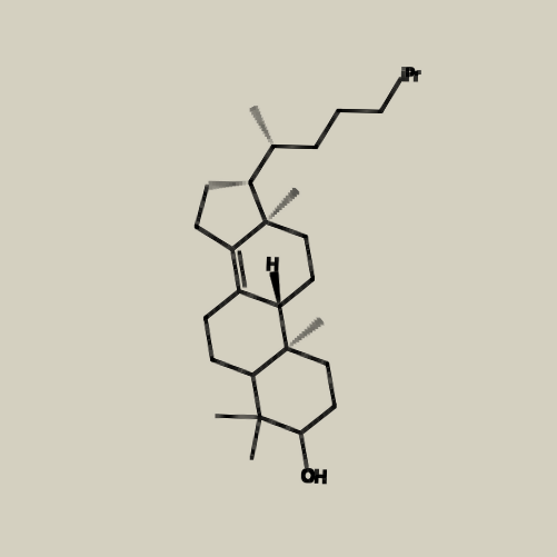 CC(C)CCC[C@@H](C)[C@H]1CCC2=C3CCC4C(C)(C)C(O)CC[C@]4(C)[C@H]3CC[C@@]21C